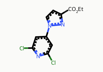 CCOC(=O)c1ccn(-c2cc(Cl)nc(Cl)c2)n1